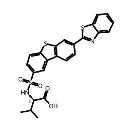 CC(C)[C@@H](NS(=O)(=O)c1ccc2sc3cc(-c4nc5ccccc5s4)ccc3c2c1)C(=O)O